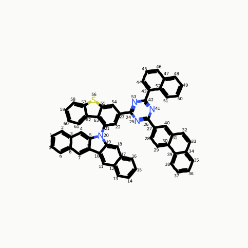 c1ccc2cc3c(cc2c1)c1cc2ccccc2cc1n3-c1cc(-c2nc(-c3ccc4c(ccc5ccccc54)c3)nc(-c3cccc4ccccc34)n2)cc2sc3ccccc3c12